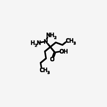 CCCCC(CCC)(C(=O)O)N(N)N